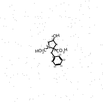 O=C(O)N1CC(O)CC1(Cc1ccccc1)C(=O)O